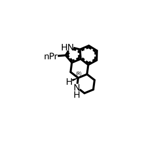 CCCc1[nH]c2cccc3c2c1C[C@H]1NCCCC31